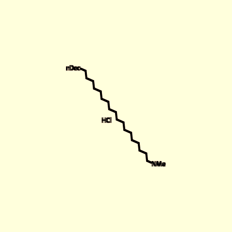 CCCCCCCCCCCCCCCCCCCCCCCCCCCCNC.Cl